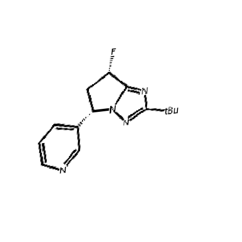 CC(C)(C)c1nc2n(n1)[C@H](c1cccnc1)C[C@@H]2F